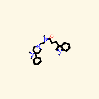 CN(CCN1CCC(C2C=CC=CC2)(N(C)C)CC1)C(=O)CCc1cn(C)c2ccccc12